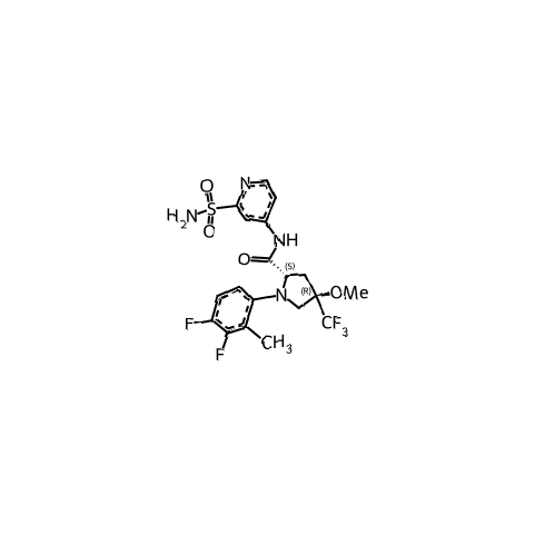 CO[C@]1(C(F)(F)F)C[C@@H](C(=O)Nc2ccnc(S(N)(=O)=O)c2)N(c2ccc(F)c(F)c2C)C1